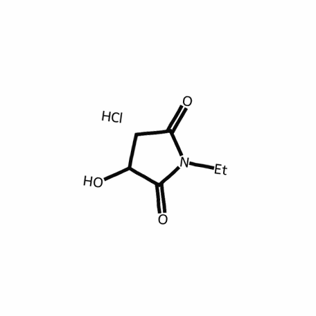 CCN1C(=O)CC(O)C1=O.Cl